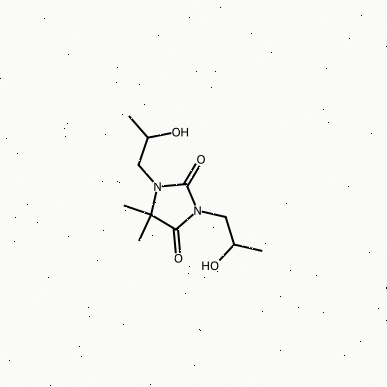 CC(O)CN1C(=O)N(CC(C)O)C(C)(C)C1=O